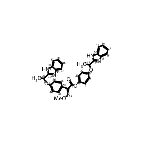 CON=C(C(=O)Oc1ccc(OC(C)c2nc3ccccc3[nH]2)cc1)c1ccc(OC(C)c2nc3ccccc3[nH]2)cc1